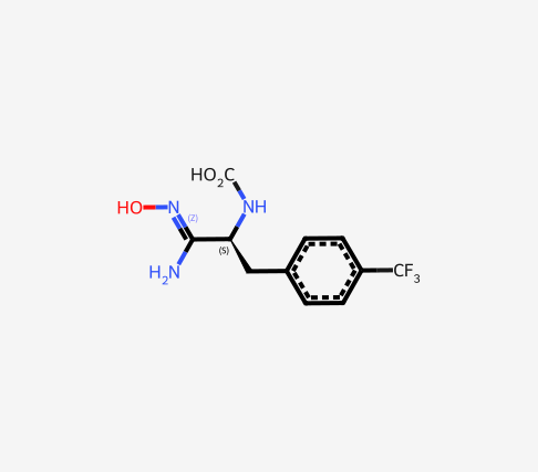 N/C(=N\O)[C@H](Cc1ccc(C(F)(F)F)cc1)NC(=O)O